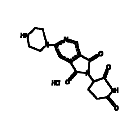 Cl.O=C1CCC(N2C(=O)c3cnc(N4CCNCC4)cc3C2=O)C(=O)N1